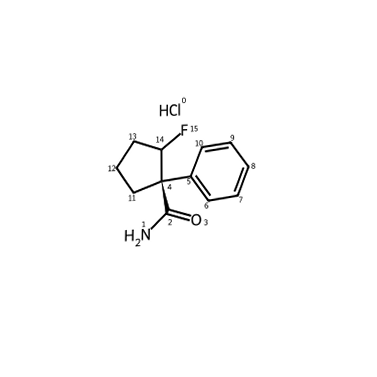 Cl.NC(=O)[C@@]1(c2ccccc2)CCCC1F